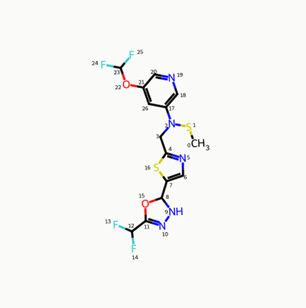 CSN(Cc1ncc(C2NN=C(C(F)F)O2)s1)c1cncc(OC(F)F)c1